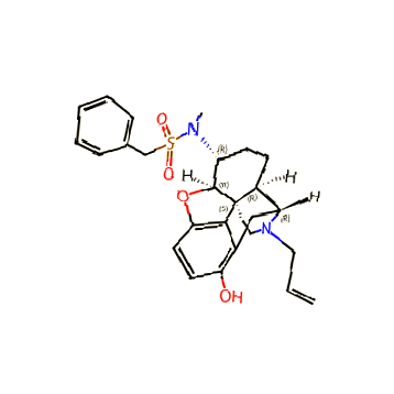 C=CCN1CC[C@@]23c4c5ccc(O)c4C[C@@H]1[C@@H]2CC[C@@H](N(C)S(=O)(=O)Cc1ccccc1)[C@@H]3O5